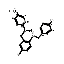 CCN(Cc1cc(Br)ccc1OCc1ccc(Br)cc1)c1ccc(C(=O)O)cn1